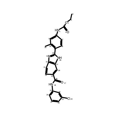 CCOC(=O)Nc1ccc(-c2nc3ccc(C(=O)Nc4cccc(Cl)c4)cc3[nH]2)c(C)c1